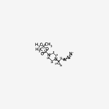 CC(C)(C)OC(=O)N1CCN(C2(CN=[N+]=[N-])CC2)CC1